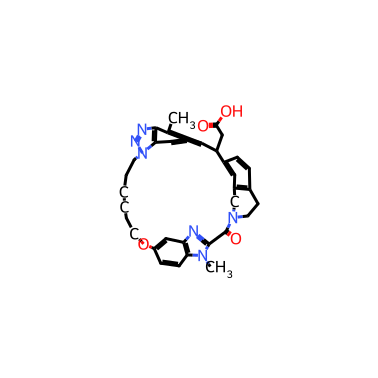 Cc1c2ccc3c1nnn3CCCCCCOc1ccc3c(c1)nc(n3C)C(=O)N1CCc3ccc(cc3C1)C2CC(=O)O